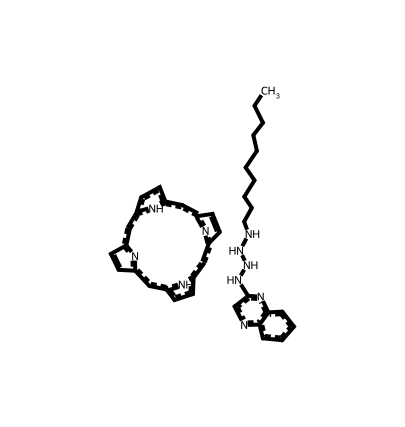 C1=Cc2cc3ccc(cc4nc(cc5ccc(cc1n2)[nH]5)C=C4)[nH]3.CCCCCCCCCCNNNNc1cnc2ccccc2n1